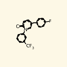 O=c1ccc(-c2ccc(F)cc2)cn1-c1cccc(C(F)(F)F)c1